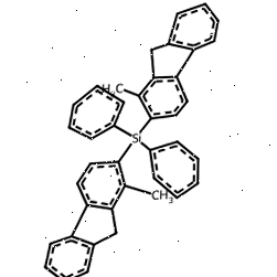 Cc1c([Si](c2ccccc2)(c2ccccc2)c2ccc3c(c2C)Cc2ccccc2-3)ccc2c1Cc1ccccc1-2